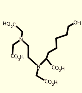 O=C(O)CN(CCN(CC(=O)O)C(CCCCCO)C(=O)O)CC(=O)O